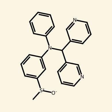 C[S+]([O-])c1cccc(N(c2ccccc2)C(c2cccnc2)c2cccnc2)c1